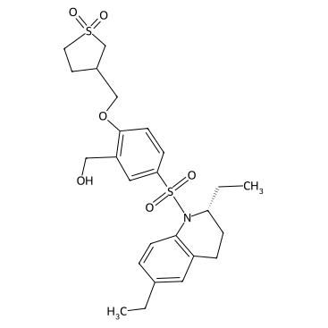 CCc1ccc2c(c1)CC[C@@H](CC)N2S(=O)(=O)c1ccc(OCC2CCS(=O)(=O)C2)c(CO)c1